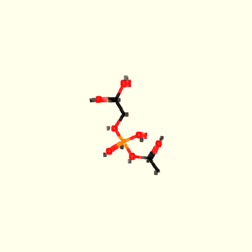 CC(=O)OP(=O)(O)OCC(=O)O